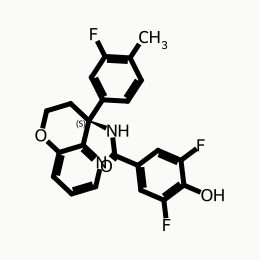 Cc1ccc([C@@]2(NC(=O)c3cc(F)c(O)c(F)c3)CCOc3cccnc32)cc1F